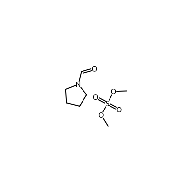 COS(=O)(=O)OC.O=CN1CCCC1